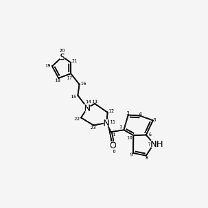 O=C(c1cccc2[nH]ccc12)N1CCN(CCc2ccsc2)CC1